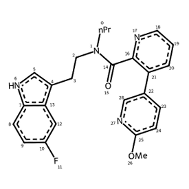 CCCN(CCc1c[nH]c2ccc(F)cc12)C(=O)c1ncccc1-c1ccc(OC)nc1